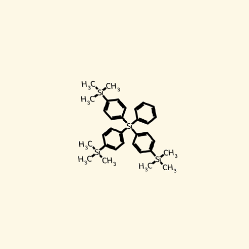 C[Si](C)(C)c1ccc([Si](c2ccccc2)(c2ccc([Si](C)(C)C)cc2)c2ccc([Si](C)(C)C)cc2)cc1